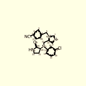 N#Cc1ccc(Cn2cncc2CN(c2cccc(Cl)c2)[C@H]2CCNC2=O)cc1